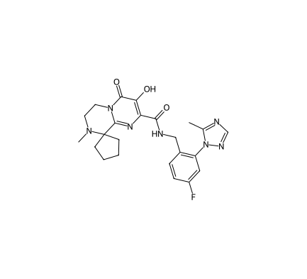 Cc1ncnn1-c1cc(F)ccc1CNC(=O)c1nc2n(c(=O)c1O)CCN(C)C21CCCC1